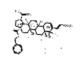 C=C(C)[C@@H]1CC[C@]2(C(=O)OCc3ccccc3)CC[C@]3(C)[C@H](CC[C@@H]4[C@@]5(C)CC=C(/C=C/C(=O)OCC)C(C)(C)[C@@H]5CC[C@]43C)[C@@H]12